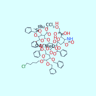 COC(=O)C1(OC2C(OC3OC(COC(C)=O)C(OCc4ccccc4)C(O[Si](C)(C)C(C)(C)C)C3C(=O)OCC(Cl)(Cl)Cl)C(COCc3ccccc3)OC(OC3C(COCc4ccccc4)OC(OCCCCCCl)C(OCc4ccccc4)C3OCc3ccccc3)C2OC(=O)c2ccccc2)CC2OC(=O)NC2C([C@H](O)[C@H](O)CO)O1